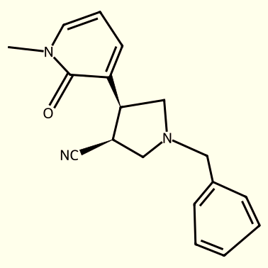 Cn1cccc([C@H]2CN(Cc3ccccc3)C[C@H]2C#N)c1=O